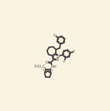 CCOC(=O)[C@@H]1C2CCC(C2)[C@@H]1NC(=O)c1nn(-c2ccc(F)cc2F)c2c1CCCCC2Cc1cccc(F)c1